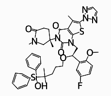 COc1ccc(F)cc1[C@H](Cn1c(=O)n([C@@]2(C)CCC(=O)N(C)C2)c(=O)c2c(C)c(-n3nccn3)sc21)OCCCC(C)(C)[Si](O)(c1ccccc1)c1ccccc1